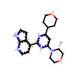 C[C@@H]1COCCN1c1cc(C2CCOCC2)nc(-c2ccnc3[nH]ccc23)n1